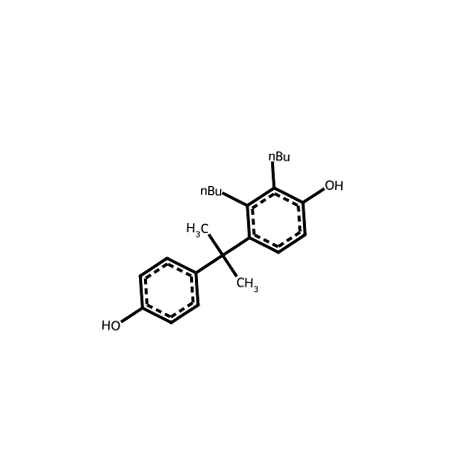 CCCCc1c(O)ccc(C(C)(C)c2ccc(O)cc2)c1CCCC